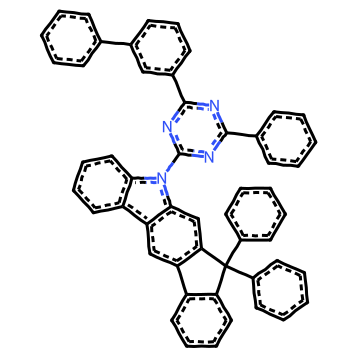 c1ccc(-c2cccc(-c3nc(-c4ccccc4)nc(-n4c5ccccc5c5cc6c(cc54)C(c4ccccc4)(c4ccccc4)c4ccccc4-6)n3)c2)cc1